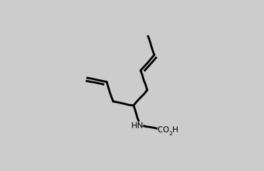 C=CCC(CC=CC)NC(=O)O